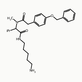 CC(C)C(C(=O)NCCCCCN)N(C)C(=O)Cc1ccc(OCc2ccccc2)cc1